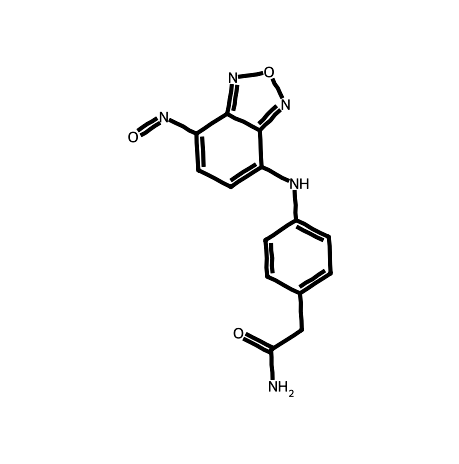 NC(=O)Cc1ccc(Nc2ccc(N=O)c3nonc23)cc1